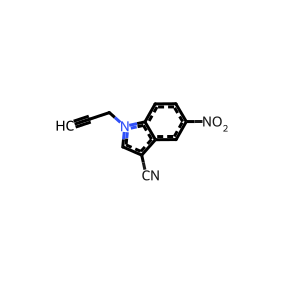 C#CCn1cc(C#N)c2cc([N+](=O)[O-])ccc21